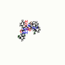 CC1(C)SCN(C(=O)C(O)C(Cc2ccccc2)NC(=O)NCc2c(F)cccc2F)C1C(=O)NCc1c(F)cccc1F